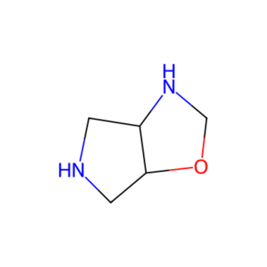 C1NC2CNCC2O1